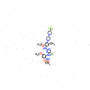 COc1ccc(NS(C)(=O)=O)c(Nc2nc(Nc3cc(C)c(N4CCC(N5CCC(C(F)(F)F)CC5)CC4)cc3OC)ncc2Cl)c1